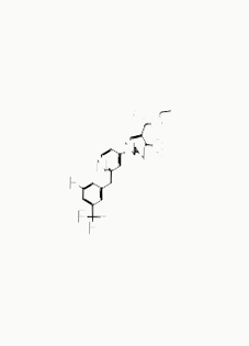 CCOC(=O)c1cn(-c2ccnc(Cc3cc(F)cc(C(F)(F)F)c3)c2)nc1OC